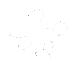 Cc1nc(-c2ccccc2Oc2ccccc2)sc1C(=O)N1CCN(C(C)C)CC1